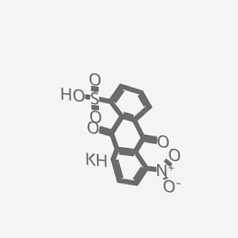 O=C1c2cccc(S(=O)(=O)O)c2C(=O)c2cccc([N+](=O)[O-])c21.[KH]